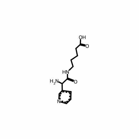 NC(C(=O)NCCCCC(=O)O)c1cccnc1